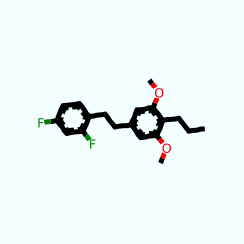 CCCc1c(OC)cc(CCc2ccc(F)cc2F)cc1OC